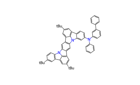 CC(C)(C)c1ccc2c(c1)c1cc(C(C)(C)C)cc3c4cc5c(cc4n2c13)c1cc(C(C)(C)C)cc2c3ccc(N(c4ccccc4)c4cccc(-c6ccccc6)c4)cc3n5c21